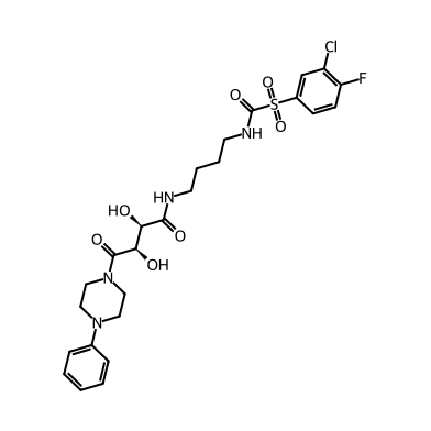 O=C(NCCCCNC(=O)S(=O)(=O)c1ccc(F)c(Cl)c1)[C@H](O)[C@@H](O)C(=O)N1CCN(c2ccccc2)CC1